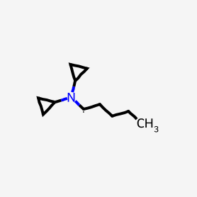 CCCC[CH]N(C1CC1)C1CC1